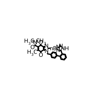 CCCCc1nc2c(n1Cc1ccc(-c3ccccc3-c3nnn[nH]3)cc1)C(=O)C(C)=C(C(=O)N(C)C)C2=O